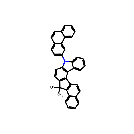 CC1(C)c2ccc3c(c2-c2ccc4ccccc4c21)c1ccccc1n3-c1ccc2ccc3ccccc3c2c1